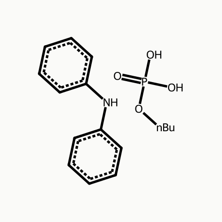 CCCCOP(=O)(O)O.c1ccc(Nc2ccccc2)cc1